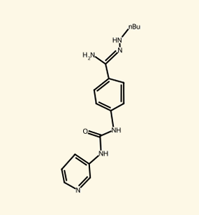 CCCCN/N=C(\N)c1ccc(NC(=O)Nc2cccnc2)cc1